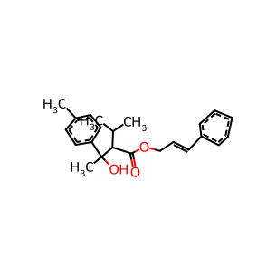 Cc1ccc(C(C)(O)C(C(=O)OCC=Cc2ccccc2)C(C)C)cc1